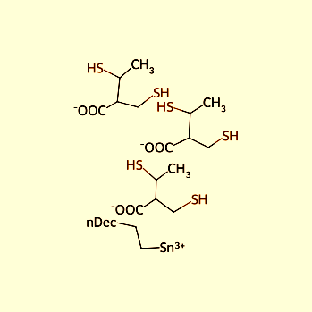 CC(S)C(CS)C(=O)[O-].CC(S)C(CS)C(=O)[O-].CC(S)C(CS)C(=O)[O-].CCCCCCCCCCC[CH2][Sn+3]